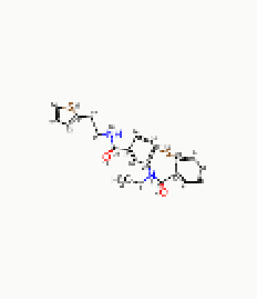 CCN1C(=O)c2ccccc2Sc2ccc(C(=O)NCCc3cccs3)cc21